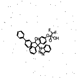 O=P(O)(Oc1ccc(C(c2ccccc2)(C(O)c2cccc(-c3ccccc3)c2)n2nnc3ccccc32)cc1)C(F)F